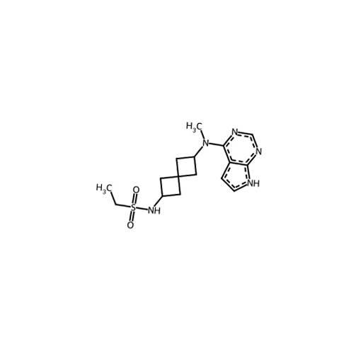 CCS(=O)(=O)NC1CC2(C1)CC(N(C)c1ncnc3[nH]ccc13)C2